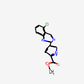 COC(=O)c1ccc(-c2ncc3c(Cl)cccc3n2)cn1